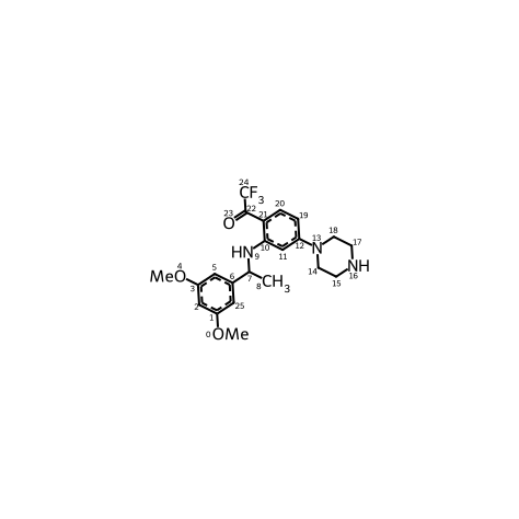 COc1cc(OC)cc(C(C)Nc2cc(N3CCNCC3)ccc2C(=O)C(F)(F)F)c1